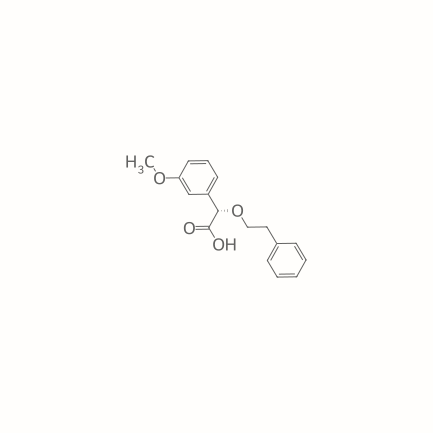 COc1cccc([C@H](OCCc2ccccc2)C(=O)O)c1